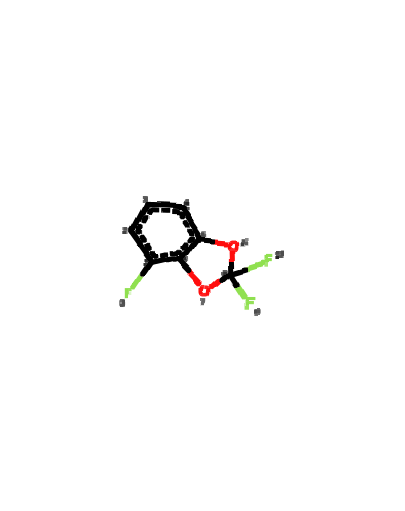 Fc1cc[c]c2c1OC(F)(F)O2